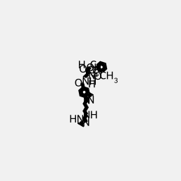 Cc1cccc(C)c1S(=O)(=O)NC(CNC(=O)c1ccc2c(cnn2CCCNc2ncc[nH]2)c1)C(=O)O